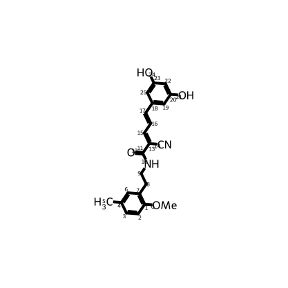 COc1ccc(C)cc1CCNC(=O)/C(C#N)=C/C=C/c1cc(O)cc(O)c1